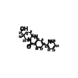 CC1(CO)CCc2nc3cc(-c4ccccn4)ccc3c(=O)n2C1